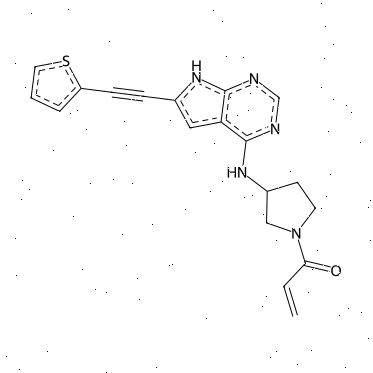 C=CC(=O)N1CCC(Nc2ncnc3[nH]c(C#Cc4cccs4)cc23)C1